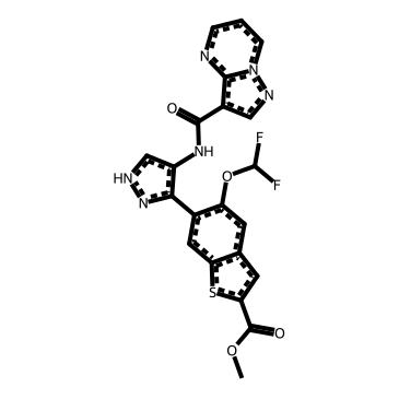 COC(=O)c1cc2cc(OC(F)F)c(-c3n[nH]cc3NC(=O)c3cnn4cccnc34)cc2s1